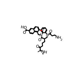 CN[C@@H](C)C(=O)CCCC1CN(C(=O)CCN)c2ccccc2N(Cc2c(OC)ccc3cc(C(=O)O)ccc23)C1=O